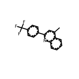 Cc1cc(-c2ccc(C(F)(F)F)cc2)nc2ccccc12